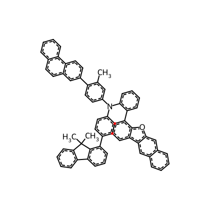 Cc1cc(N(c2ccc(-c3cccc4c3C(C)(C)c3ccccc3-4)cc2)c2ccccc2-c2cccc3c2oc2cc4ccccc4cc23)ccc1-c1ccc2c(ccc3ccccc32)c1